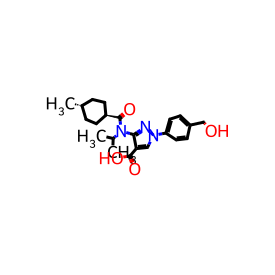 CC(C)N(c1nn(-c2ccc(CO)cc2)cc1C(=O)O)C(=O)[C@H]1CC[C@H](C)CC1